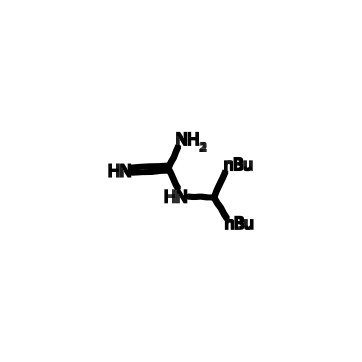 CCCCC(CCCC)NC(=N)N